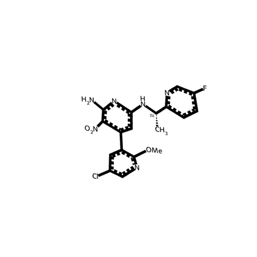 COc1ncc(Cl)cc1-c1cc(N[C@@H](C)c2ccc(F)cn2)nc(N)c1[N+](=O)[O-]